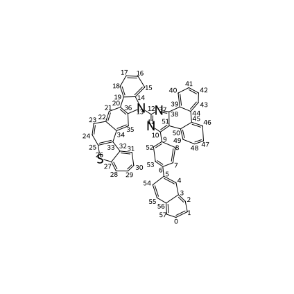 c1ccc2cc(-c3ccc(-c4nc(-n5c6ccccc6c6cc7ccc8sc9ccccc9c8c7cc65)nc5c6ccccc6c6ccccc6c45)cc3)ccc2c1